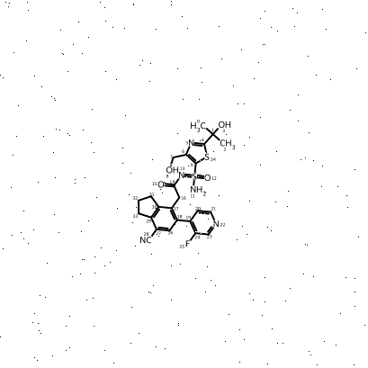 CC(C)(O)c1nc(CO)c(S(N)(=O)=NC(=O)Cc2c(-c3ccncc3F)cc(C#N)c3c2CCC3)s1